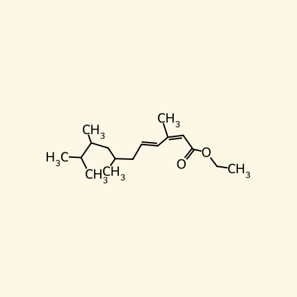 CCOC(=O)C=C(C)C=CCC(C)CC(C)C(C)C